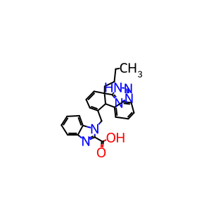 CCCCC1(c2nnn[nH]2)C=CC=C(Cn2c(C(=O)O)nc3ccccc32)C1c1ccccc1